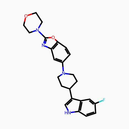 Fc1ccc2[nH]cc(C3CCN(c4ccc5oc(N6CCOCC6)nc5c4)CC3)c2c1